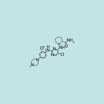 CN1CCN(c2ccc(Nc3ncc(Cl)c(N[C@@H]4CCCCC4C(N)=O)n3)c(C(F)(F)F)c2)CC1